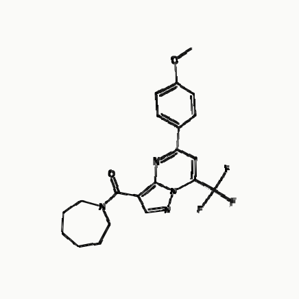 COc1ccc(-c2cc(C(F)(F)F)n3ncc(C(=O)N4CCCCCC4)c3n2)cc1